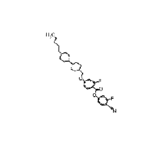 CCCCC[C@H]1CC[C@H]([C@H]2CC[C@H](COc3ccc(C(=O)Oc4ccc(C#N)c(F)c4)c(F)c3)CC2)CC1